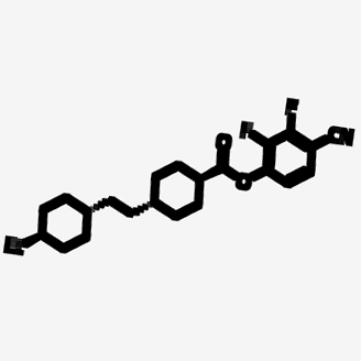 CC[C@H]1CC[C@H](CC[C@H]2CC[C@H](C(=O)Oc3ccc(C#N)c(F)c3F)CC2)CC1